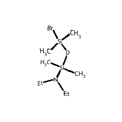 CCN(CC)[Si](C)(C)O[Si](C)(C)Br